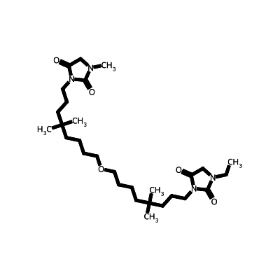 CCN1CC(=O)N(CCCC(C)(C)CCCCOCCCCC(C)(C)CCCN2C(=O)CN(C)C2=O)C1=O